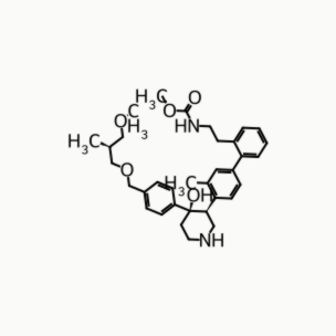 COC[C@H](C)COCc1ccc([C@@]2(O)CCNC[C@@H]2c2ccc(-c3ccccc3CCNC(=O)OC)cc2C)cc1